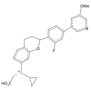 COc1cncc(-c2ccc(C3CCc4ccc([C@@H](CC(=O)O)C5CC5)cc4O3)c(F)c2)c1